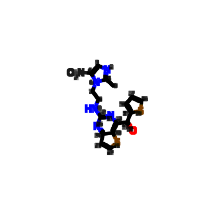 Cc1ncc([N+](=O)[O-])n1CCNc1nc(C(=O)c2cccs2)c2sccc2n1